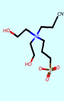 N#CCC[N+](CCO)(CCO)CCCS(=O)(=O)[O-]